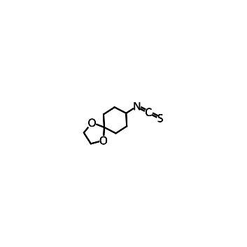 S=C=NC1CCC2(CC1)OCCO2